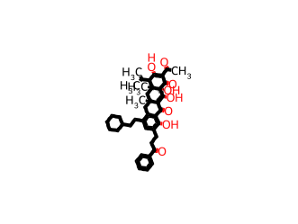 CC(=O)C1=C(O)C(C(C)C)[C@@]2(C)C[C@@]3(C)Cc4c(CCC5CCCCC5)cc(CCC(=O)c5ccccc5)c(O)c4C(=O)C3=C(O)[C@@]2(O)C1=O